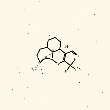 C[C@]12CCC3CCC[C@H]4C(C=O)=C(C(F)(F)F)OC(O1)[C@@]34OO2